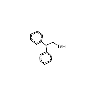 [TeH]CC(c1ccccc1)c1ccccc1